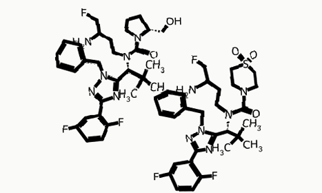 CC(C)(C)[C@H](c1nc(-c2cc(F)ccc2F)nn1Cc1ccccc1)N(CCC(N)CF)C(=O)N1CCC[C@@H]1CO.CC(C)(C)[C@H](c1nc(-c2cc(F)ccc2F)nn1Cc1ccccc1)N(CCC(N)CF)C(=O)N1CCS(=O)(=O)CC1